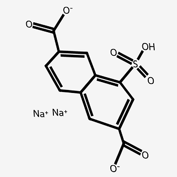 O=C([O-])c1cc(S(=O)(=O)O)c2cc(C(=O)[O-])ccc2c1.[Na+].[Na+]